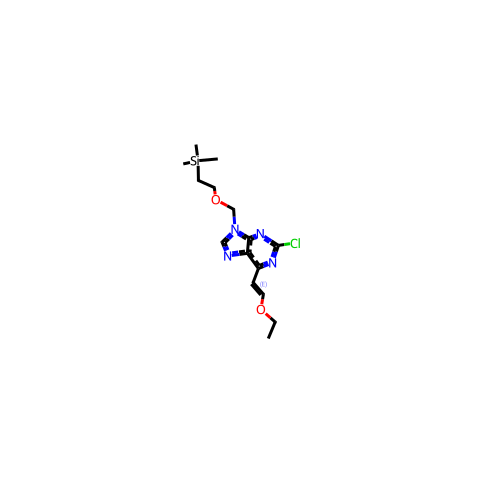 CCO/C=C/c1nc(Cl)nc2c1ncn2COCC[Si](C)(C)C